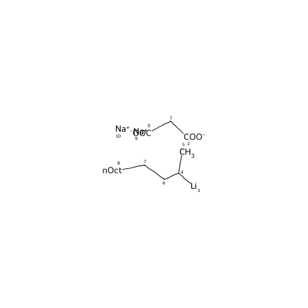 O=C([O-])CC(=O)[O-].[Li][CH](C)CCCCCCCCCC.[Na+].[Na+]